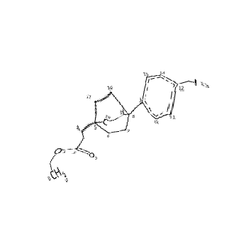 COC(=O)CC12CCC(c3ccc(I)cc3)(CC1)CC2